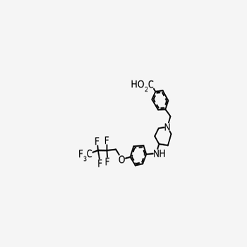 O=C(O)c1ccc(CN2CCC(Nc3ccc(OCC(F)(F)C(F)(F)C(F)(F)F)cc3)CC2)cc1